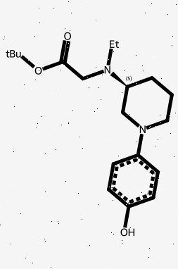 CCN(CC(=O)OC(C)(C)C)[C@H]1CCCN(c2ccc(O)cc2)C1